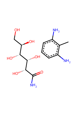 Cc1c(N)cccc1N.NC(=O)[C@H](O)[C@@H](O)[C@H](O)[C@H](O)CO